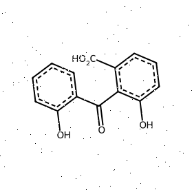 O=C(O)c1cccc(O)c1C(=O)c1ccccc1O